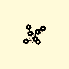 c1ccc(-c2cccc(N(c3ccc4c(c3)oc3ccccc34)c3cc4ccccc4c4nc(-c5ccccc5)oc34)c2)cc1